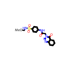 COCNS(=O)(=O)c1ccc(NC(=O)Cn2nnc3ccccc3c2=O)cc1